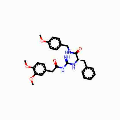 COc1ccc(CNC(=O)[C@@H](Cc2ccccc2)NC(=N)NC(=O)Cc2ccc(OC)c(OC)c2)cc1